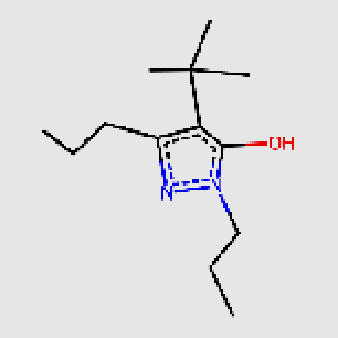 CCCc1nn(CCC)c(O)c1C(C)(C)C